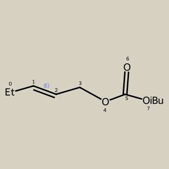 CC/C=C/COC(=O)OCC(C)C